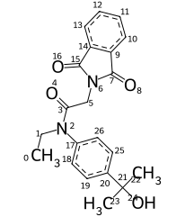 CCN(C(=O)CN1C(=O)c2ccccc2C1=O)c1ccc(C(C)(C)O)cc1